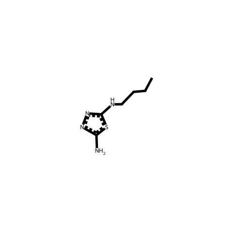 CCCCNc1nnc(N)s1